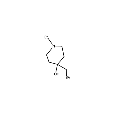 CCN1CCC(O)(CC(C)C)CC1